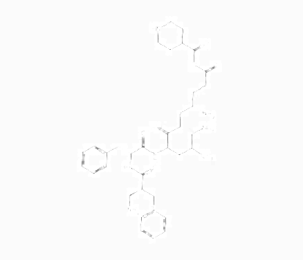 CC(CN)CC(NC(=O)[C@@H](Cc1ccccc1)NC(=O)[C@H](CN)Cc1ccccc1)C(=O)CC[C@@H](N)CCC(=O)OC(=O)C1CCNCC1